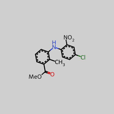 COC(=O)c1cccc(Nc2ccc(Cl)cc2[N+](=O)[O-])c1C